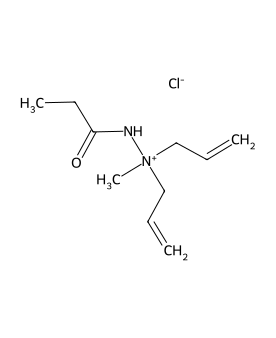 C=CC[N+](C)(CC=C)NC(=O)CC.[Cl-]